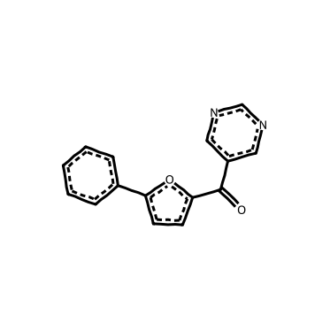 O=C(c1cncnc1)c1ccc(-c2ccccc2)o1